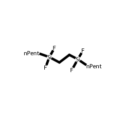 CCCCC[Si](F)(F)CC[Si](F)(F)CCCCC